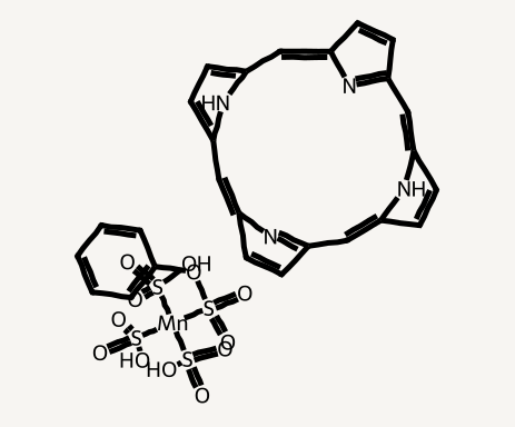 C1=Cc2cc3ccc(cc4nc(cc5ccc(cc1n2)[nH]5)C=C4)[nH]3.O=[S](=O)(O)[Mn]([S](=O)(=O)O)([S](=O)(=O)O)[S](=O)(=O)Oc1ccccc1